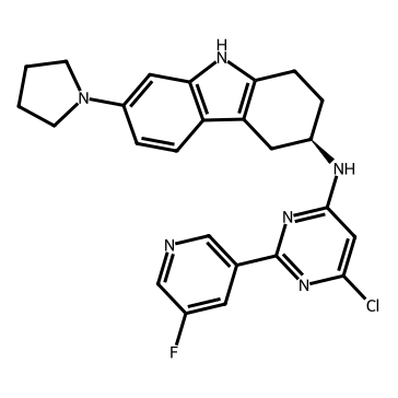 Fc1cncc(-c2nc(Cl)cc(N[C@@H]3CCc4[nH]c5cc(N6CCCC6)ccc5c4C3)n2)c1